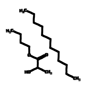 CCCCCCCCCCCC.CCCCOC(=O)C(C)O